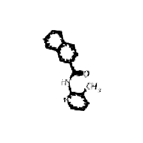 Cc1cccnc1NC(=O)c1ccc2ccccc2c1